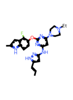 C/C=C/c1cc(Nc2cc(N3CCN(CC)CC3)nc(Oc3ccc4[nH]c(C)cc4c3F)n2)n[nH]1